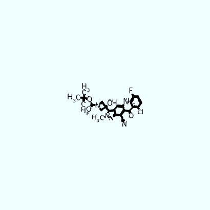 Cn1nc2c(C#N)c(C(=O)c3cc(F)ccc3Cl)c(N)cc2c1C1(O)CN(C(=O)OC(C)(C)C)C1